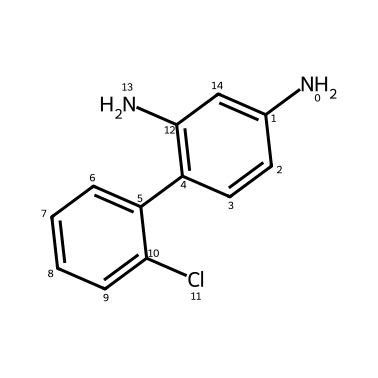 Nc1ccc(-c2ccccc2Cl)c(N)c1